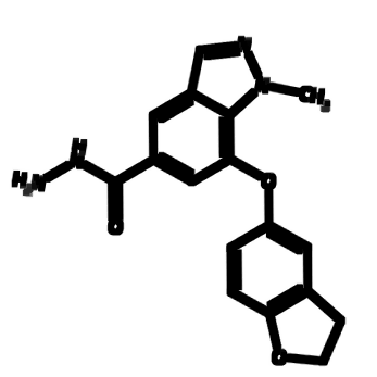 Cn1ncc2cc(C(=O)NN)cc(Oc3ccc4c(c3)CCO4)c21